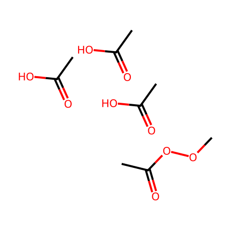 CC(=O)O.CC(=O)O.CC(=O)O.COOC(C)=O